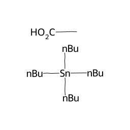 CC(=O)O.CCC[CH2][Sn]([CH2]CCC)([CH2]CCC)[CH2]CCC